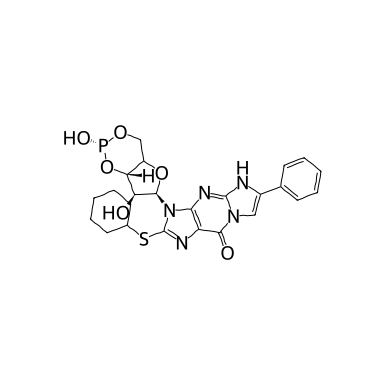 O=c1c2nc(SC3CCCCC3)n([C@@H]3OC4CO[P@@](O)O[C@H]4[C@@H]3O)c2nc2[nH]c(-c3ccccc3)cn12